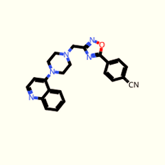 N#Cc1ccc(-c2nc(CN3CCN(c4ccnc5ccccc45)CC3)no2)cc1